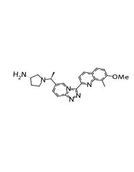 COc1ccc2ccc(-c3nnc4ccc([C@H](C)N5CC[C@H](N)C5)cn34)nc2c1C